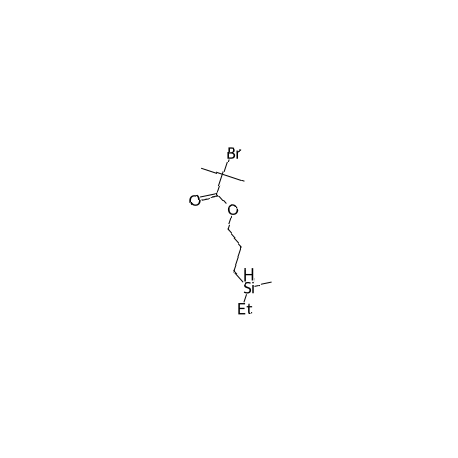 CC[SiH](C)CCCOC(=O)C(C)(C)Br